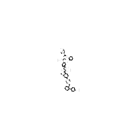 CN1CCN(C(=O)C[C@H](CSc2ccccc2)Nc2ccc(S(=O)(=O)Nc3ncnc4cc(N5CCN(Cc6ccccc6-c6ccc(Cl)cc6)CC5)ccc34)cc2[N+](=O)[O-])CC1